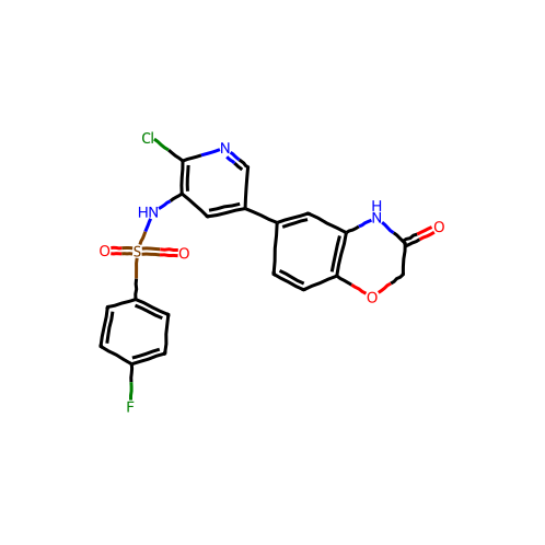 O=C1COc2ccc(-c3cnc(Cl)c(NS(=O)(=O)c4ccc(F)cc4)c3)cc2N1